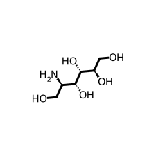 N[C@H](CO)[C@@H](O)[C@H](O)[C@H](O)CO